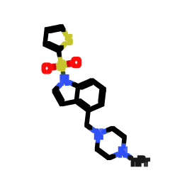 CCCN1CCN(Cc2cccc3c2ccn3S(=O)(=O)c2cccs2)CC1